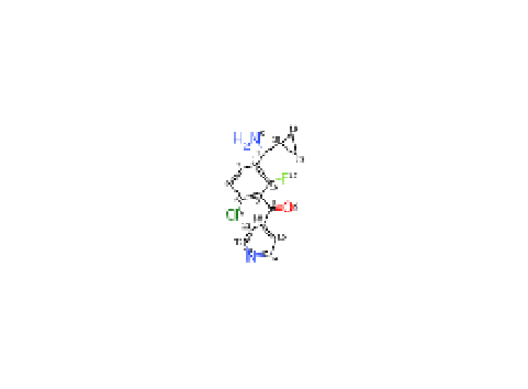 N[C@@H](c1ccc(Cl)c(C(=O)c2ccncc2)c1F)C1CC1